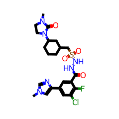 CN1CCN(C2CCCC(CS(=O)(=O)NNC(=O)c3cc(-c4cn(C)cn4)cc(Cl)c3F)C2)C1=O